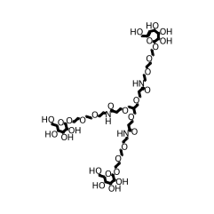 O=C(CCOCC(COCCC(=O)NCCOCCOCCO[C@H]1OC(CO)[C@@H](O)C(O)C1O)COCCC(=O)NCCOCCOCCO[C@H]1OC(CO)=C[C@@H](O)C(O)C1O)NCCOCCOCCO[C@@H]1OC(CO)[C@@H](O)C(O)C1O